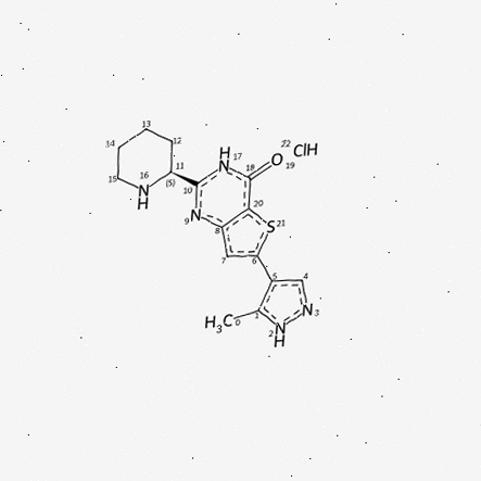 Cc1[nH]ncc1-c1cc2nc([C@@H]3CCCCN3)[nH]c(=O)c2s1.Cl